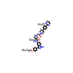 COCCOc1ccc(-c2n[nH]c3ccc(NC(=O)[C@]4(OC)CCN(CC(=O)N5CC=C(c6ccc(-c7ncccn7)c(OC)c6)CC5)C4)cc23)cc1